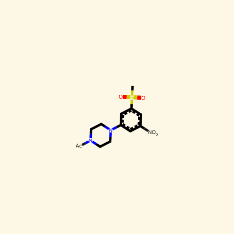 CC(=O)N1CCN(c2cc([N+](=O)[O-])cc(S(C)(=O)=O)c2)CC1